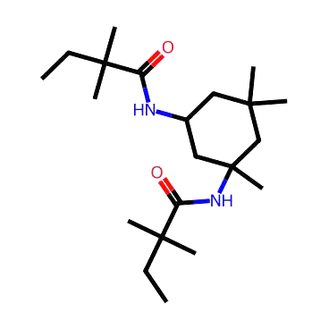 CCC(C)(C)C(=O)NC1CC(C)(C)CC(C)(NC(=O)C(C)(C)CC)C1